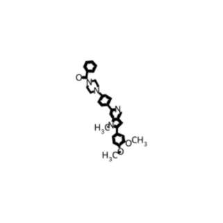 COc1ccc(-c2cc3cnc(-c4ccc(N5CCN(C(=O)c6ccccc6)CC5)cc4)cc3n2C)cc1OC